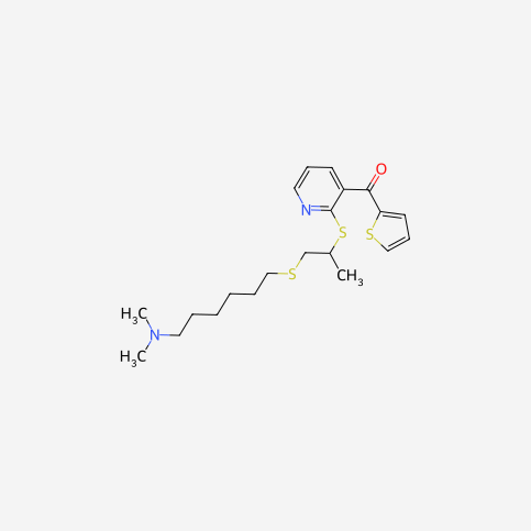 CC(CSCCCCCCN(C)C)Sc1ncccc1C(=O)c1cccs1